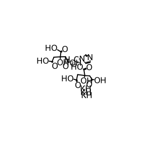 Cn1ccnc1.O=C(O)CC(O)(CC(=O)O)C(=O)O.O=C(O)CC(O)(CC(=O)O)C(=O)O.[KH].[KH].[KH]